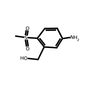 CS(=O)(=O)c1ccc(N)cc1CO